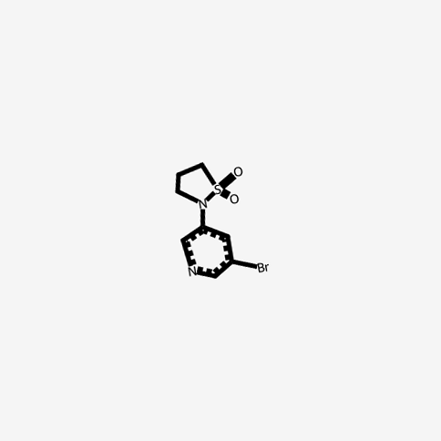 O=S1(=O)CCCN1c1cncc(Br)c1